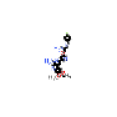 COc1cc2ncc3c(N)nc(-c4cncc(OC[C@@H](N)CNCc5ccc(F)cc5)c4)cc3c2cc1OC